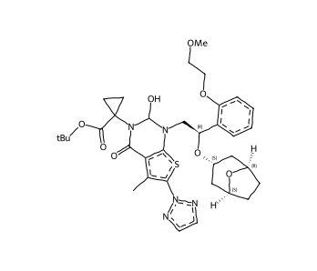 COCCOc1ccccc1[C@H](CN1c2sc(-n3nccn3)c(C)c2C(=O)N(C2(C(=O)OC(C)(C)C)CC2)C1O)O[C@@H]1C[C@H]2CC[C@@H](C1)O2